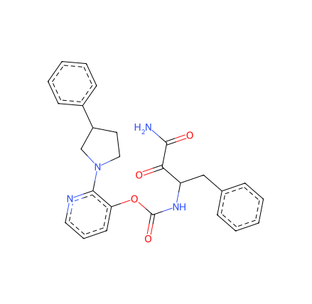 NC(=O)C(=O)C(Cc1ccccc1)NC(=O)Oc1cccnc1N1CCC(c2ccccc2)C1